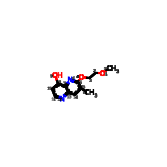 COCCOc1nc2c(O)ccnc2cc1C